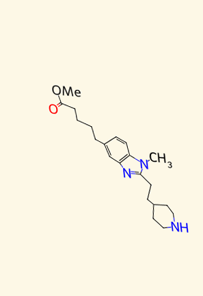 COC(=O)CCCCc1ccc2c(c1)nc(CCC1CCNCC1)n2C